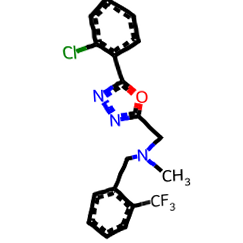 CN(Cc1nnc(-c2ccccc2Cl)o1)Cc1ccccc1C(F)(F)F